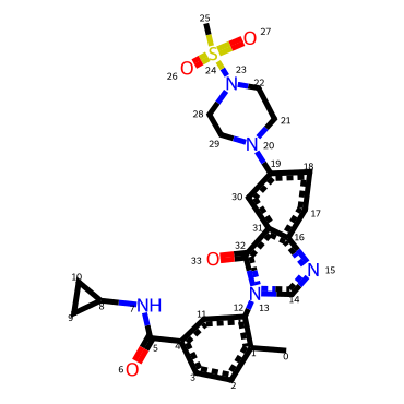 Cc1ccc(C(=O)NC2CC2)cc1-n1cnc2ccc(N3CCN(S(C)(=O)=O)CC3)cc2c1=O